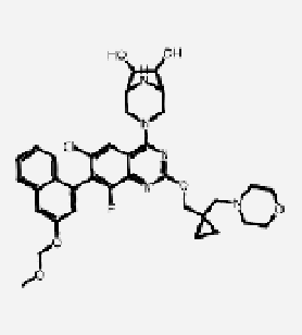 COCOc1cc(-c2c(Cl)cc3c(N4CC5NC(C4)C(O)C5O)nc(OCC4(CN5CCOCC5)CC4)nc3c2F)c2ccccc2c1